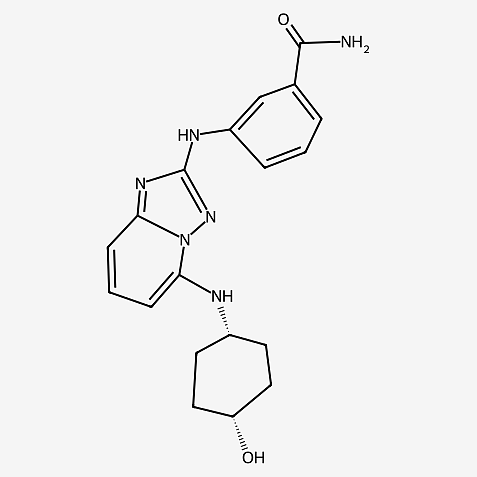 NC(=O)c1cccc(Nc2nc3cccc(N[C@H]4CC[C@@H](O)CC4)n3n2)c1